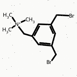 C[N+](C)(C)Cc1cc(CBr)cc(CBr)c1